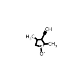 C#CC1C(C)C[S+]([O-])C1C